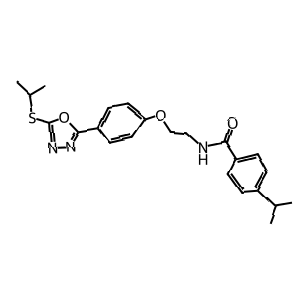 CC(C)Sc1nnc(-c2ccc(OCCNC(=O)c3ccc(C(C)C)cc3)cc2)o1